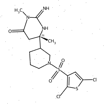 CN1C(=N)N[C@](C)(C2CCCN(S(=O)(=O)c3cc(Cl)sc3Cl)C2)CC1=O